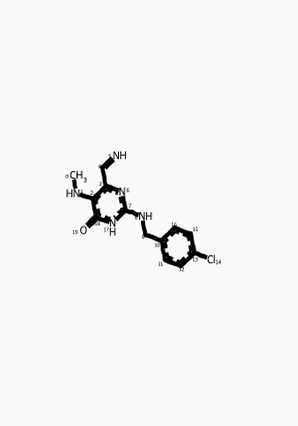 CNc1c(C=N)nc(NCc2ccc(Cl)cc2)[nH]c1=O